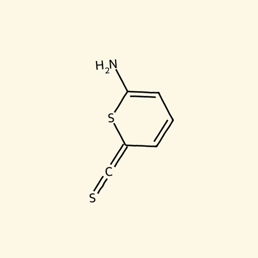 NC1=CC=CC(=C=S)S1